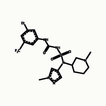 CCc1cc(NC(=O)NS(=O)(=O)N(c2cnn(C)c2)C2CCCN(C)C2)cc(C(F)(F)F)c1